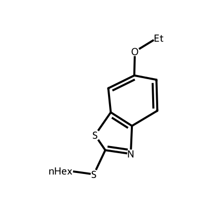 CCCCCCSc1nc2ccc(OCC)cc2s1